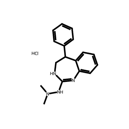 CN(C)NC1=Nc2ccccc2C(c2ccccc2)CN1.Cl